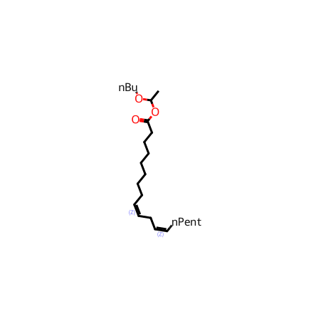 CCCCC/C=C\C/C=C\CCCCCCCC(=O)OC(C)OCCCC